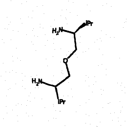 CC(C)C(N)COC[C@@H](N)C(C)C